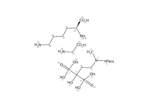 CCCCCN(C)CCC(O)(P(=O)(O)O)P(=O)(O)O.NCC(=O)O.NCCCC[C@H](N)C(=O)O